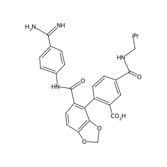 CC(C)CNC(=O)c1ccc(-c2c(C(=O)Nc3ccc(C(=N)N)cc3)ccc3c2OCO3)c(C(=O)O)c1